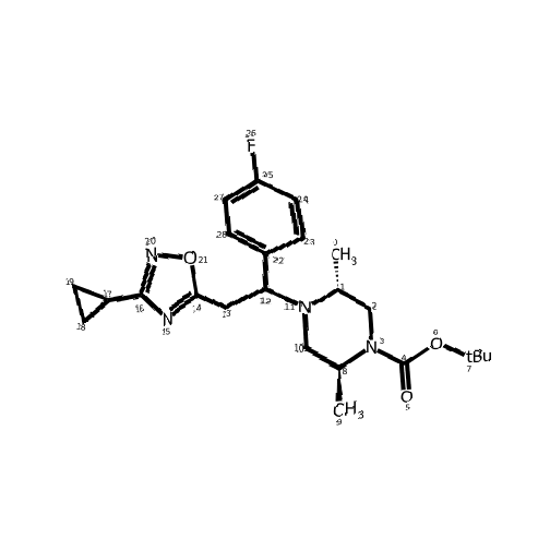 C[C@@H]1CN(C(=O)OC(C)(C)C)[C@@H](C)CN1C(Cc1nc(C2CC2)no1)c1ccc(F)cc1